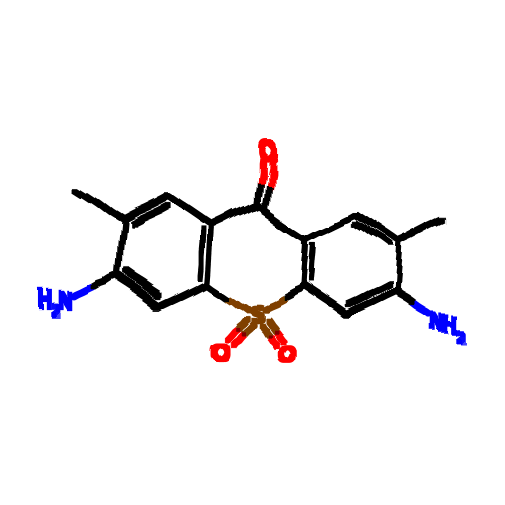 Cc1cc2c(cc1N)S(=O)(=O)c1cc(N)c(C)cc1C2=O